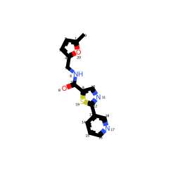 Cc1ccc(CNC(=O)c2cnc(-c3cccnc3)s2)o1